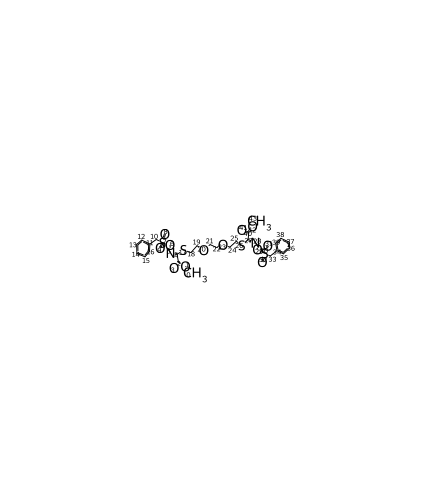 COC(=O)/C(=N/OS(=O)(=O)Cc1ccccc1)SCCOCCOCCS/C(=N\OS(=O)(=O)Cc1ccccc1)C(=O)OC